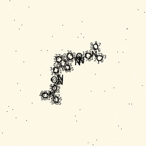 c1ccc(N(c2ccccc2)c2ccc(-c3nnc(-c4cccc(-c5c6ccccc6c(-c6cccc(-c7nnc(-c8ccc(N(c9ccccc9)c9ccccc9)cc8)o7)c6)c6ccccc56)c4)o3)cc2)cc1